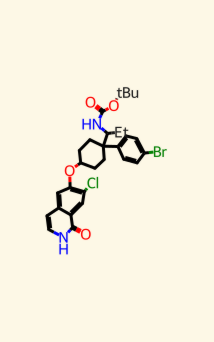 CCC(NC(=O)OC(C)(C)C)C1(c2ccc(Br)cc2)CCC(Oc2cc3cc[nH]c(=O)c3cc2Cl)CC1